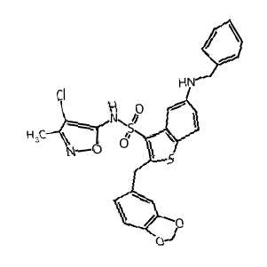 Cc1noc(NS(=O)(=O)c2c(Cc3ccc4c(c3)OCO4)sc3ccc(NCc4ccccc4)cc23)c1Cl